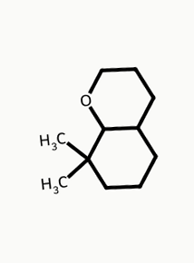 CC1(C)CCCC2CCCOC21